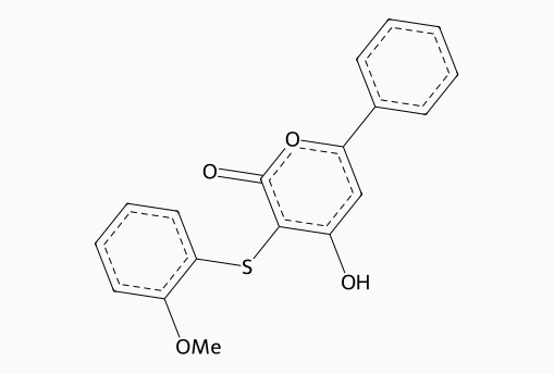 COc1ccccc1Sc1c(O)cc(-c2ccccc2)oc1=O